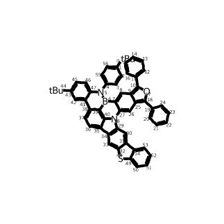 CC(C)(C)c1ccc(N2B3c4cc5c(-c6ccccc6)oc(-c6ccccc6)c5cc4-n4c5cc6c(cc5c5ccc(c3c54)-c3cc(C(C)(C)C)ccc32)sc2ccccc26)cc1